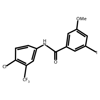 COc1cc(I)cc(C(=O)Nc2ccc(Cl)c(C(F)(F)F)c2)c1